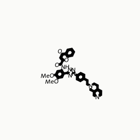 COc1cc(NC(=O)c2cc(=O)c3ccccc3o2)c(-c2nnn(-c3ccc(CCN4CCc5ccncc5C4)cc3)n2)cc1OC